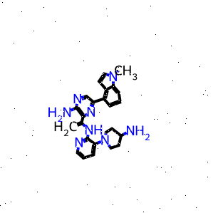 C=C(Nc1ncccc1N1CCC(N)CC1)c1nc(-c2cccc3c2ccn3C)cnc1N